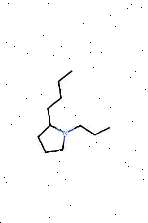 CCCCC1CCCN1CCC